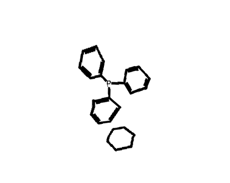 C1CCCCC1.c1ccc(P(c2ccccc2)c2ccccc2)cc1